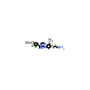 COc1ccc(-c2cnc3c(Nc4ccc(SCCCN)c(C)c4)nccn23)c(F)c1F